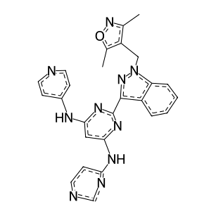 Cc1noc(C)c1Cn1nc(-c2nc(Nc3ccncc3)cc(Nc3ccncn3)n2)c2ccccc21